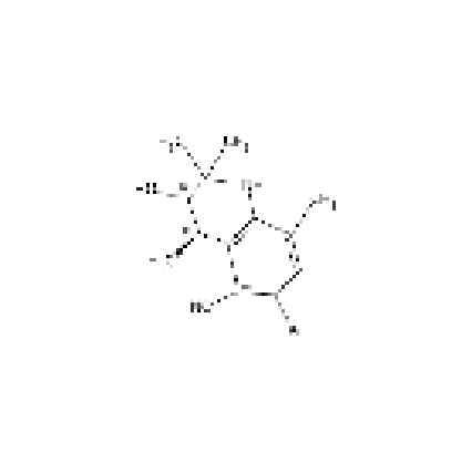 Cc1cc(Br)c(C#N)c2c1NC(C)(C)[C@@H](O)[C@@H]2C